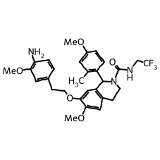 COc1ccc(C2c3cc(OCCc4ccc(N)c(OC)c4)c(OC)cc3CCN2C(=O)NCC(F)(F)F)c(C)c1